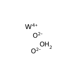 O.[O-2].[O-2].[W+4]